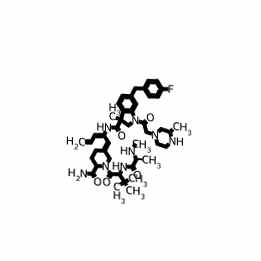 C=C/C=C(\C=C1/CCC(C(N)=O)N(C(=O)C(NC(=O)[C@H](C)NC)C(C)(C)C)C1)NC(=O)C1(C)CN(C(=O)CN2CCNC(C)C2)c2cc(Cc3ccc(F)cc3)ccc21